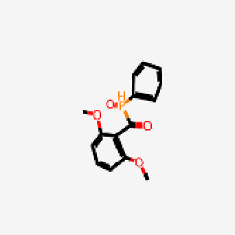 COc1cccc(OC)c1C(=O)[PH](=O)c1ccccc1